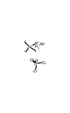 C[N+](C)(C)N.O=[PH]([O-])[O-].[Ni+]